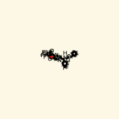 O=C(N[C@H](c1cn2nc(CC3(C(=O)O)C[C@@H](C(F)(F)F)NC3=O)ccc2n1)C1CCC(F)(F)CC1)OCc1ccccc1